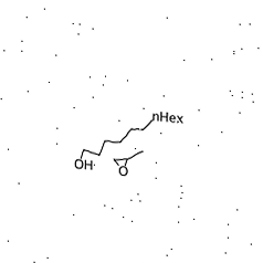 CC1CO1.CCCCCCCCCCCCO